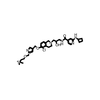 C[Si](C)(C)CCOCn1cc(COc2ccc3c(c2Cl)CCN(CC(O)CNC(=O)c2ccnc(NC4CCC4)c2)C3)cn1